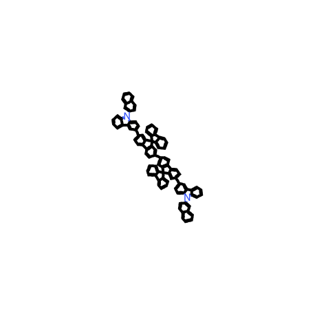 c1ccc2c(c1)-c1ccccc1C21c2cc(-c3ccc4c(c3)C3(c5ccccc5-c5ccccc53)c3cc(-c5ccc6c(c5)c5ccccc5n6-c5ccc6ccccc6c5)ccc3-4)ccc2-c2ccc(-c3ccc4c(c3)c3ccccc3n4-c3ccc4ccccc4c3)cc21